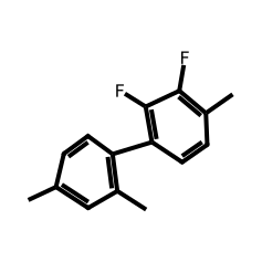 Cc1ccc(-c2ccc(C)c(F)c2F)c(C)c1